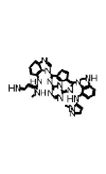 CN/C(=C\C=N)Nc1cccc2ncn(-c3nc4ncnc5nc(N6CNc7cccc(Nc8ccnn8C)c76)c6ccc3c6n54)c12